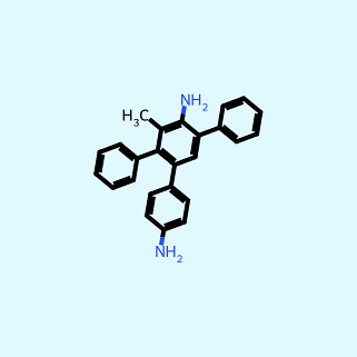 Cc1c(N)c(-c2ccccc2)cc(-c2ccc(N)cc2)c1-c1ccccc1